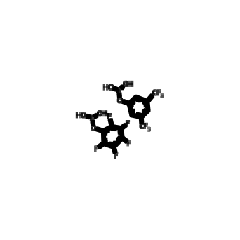 OB(O)Oc1c(F)c(F)c(F)c(F)c1F.OB(O)Oc1cc(C(F)(F)F)cc(C(F)(F)F)c1